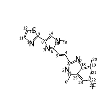 Cc1nc(/C=C/c2nc(-c3nccs3)cn2C)nc2c(C)cc(F)cc12